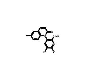 COc1nc(Cl)c(Cl)cc1-n1c(=O)ccc2cc(C)ccc21